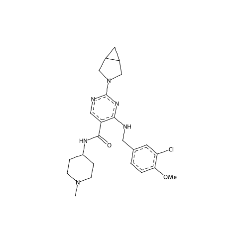 COc1ccc(CNc2nc(N3CC4CC4C3)ncc2C(=O)NC2CCN(C)CC2)cc1Cl